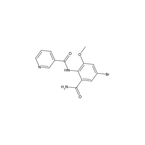 COc1cc(Br)cc(C(N)=O)c1NC(=O)c1cccnc1